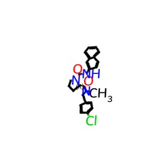 CN(Cc1ccc(Cl)cc1)C(=O)[C@H]1CCCN1C(=O)Nc1ccc2ccccc2c1